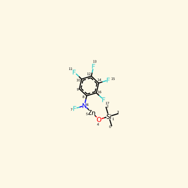 C[Si](C)(C)[O][Zn][N](F)c1cc(F)c(F)c(F)c1F